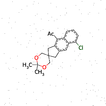 CC(=O)c1c2c(cc3c(Cl)cccc13)CC1(COC(C)(C)OC1)C2